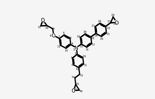 c1cc(N(c2ccc(OCC3CO3)cc2)c2ccc(-c3ccc(C4CO4)cc3)cc2)ccc1CCC1CO1